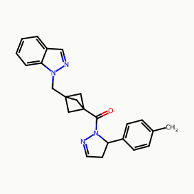 Cc1ccc(C2CC=NN2C(=O)C23CC(Cn4ncc5ccccc54)(C2)C3)cc1